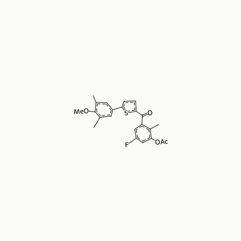 COc1c(C)cc(-c2ccc(C(=O)c3cc(F)cc(OC(C)=O)c3C)s2)cc1C